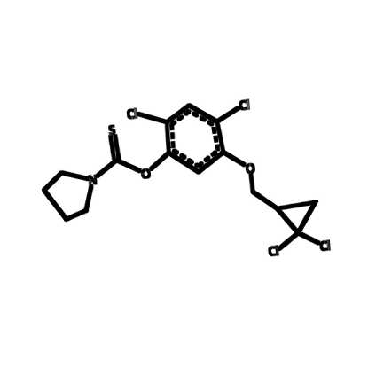 S=C(Oc1cc(OCC2CC2(Cl)Cl)c(Cl)cc1Cl)N1CCCC1